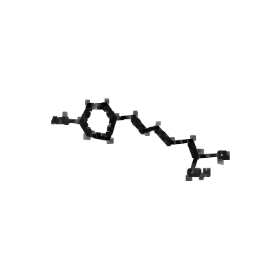 CC(=O)Oc1ccc(C=CC=CC=C(C#N)C(=O)O)cc1